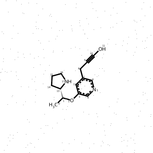 CC(Oc1cncc(CC#CO)c1)[C@@H]1CCCN1